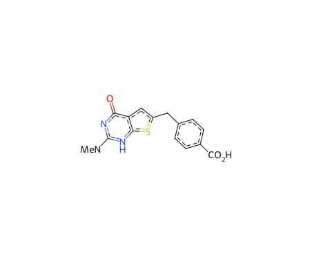 CNc1nc(=O)c2cc(Cc3ccc(C(=O)O)cc3)sc2[nH]1